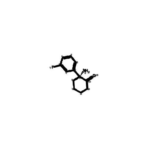 N[C@@]1(c2cccc(F)c2)CCCCC1=O